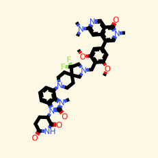 COc1cc(-c2cn(C)c(=O)c3cnc(N(C)C)cc23)cc(OC)c1CN1CC(F)(F)C2(CCN(c3cccc4c3n(C)c(=O)n4C3CCC(=O)NC3=O)CC2)C1